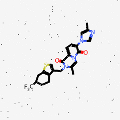 Cc1cn(-c2ccc3c(=O)n(Cc4csc5c4CCC(C(F)(F)F)C5)c(C)cn3c2=O)cn1